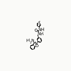 NC1c2ccccc2ON1c1cccc(CNC(=O)Nc2ccsc2)c1